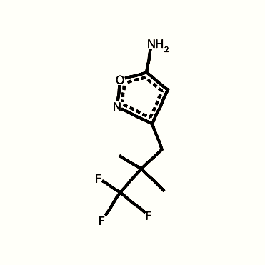 CC(C)(Cc1cc(N)on1)C(F)(F)F